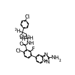 [2H]C([2H])(CC([2H])(O)c1ccc(Cl)cc1)NC(=O)c1c(Cl)ccc(-c2ccn3nc(N)nc3c2)c1F